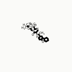 COCc1ncc(N[C@H](C)c2ccc3oc4ccccc4c3c2)c(=O)n1CC(=O)OC(C)(C)C